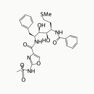 CSCC[C@@H](NC(=O)c1ccccc1)[C@@H](O)[C@H](O)[C@H](Cc1ccccc1)NC(=O)c1coc(NS(C)(=O)=O)n1